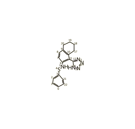 c1ccc(SNc2ccc3c(c2-c2nnn[nH]2)CCCC3)cc1